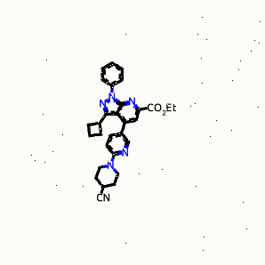 CCOC(=O)c1cc(-c2ccc(N3CCC(C#N)CC3)nc2)c2c(C3CCC3)nn(-c3ccccc3)c2n1